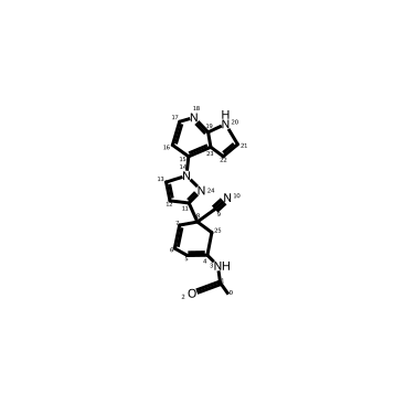 CC(=O)NC1=CC=CC(C#N)(c2ccn(-c3ccnc4[nH]ccc34)n2)C1